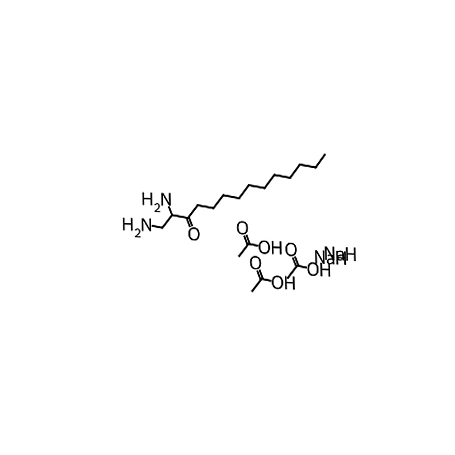 CC(=O)O.CC(=O)O.CC(=O)O.CCCCCCCCCCCC(=O)C(N)CN.[NaH].[NaH]